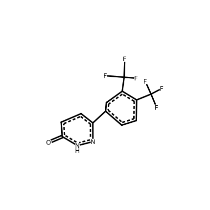 O=c1ccc(-c2ccc(C(F)(F)F)c(C(F)(F)F)c2)n[nH]1